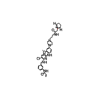 C=CC(=O)Nc1cccc(CNc2nc(Nc3ccc(N4CCN(CCCNC(=O)CC5C[C@H]6CC[C@@H]5C6(C)C)CC4)cc3OC)ncc2Cl)c1